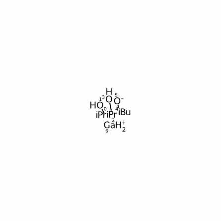 CC(C)O.CC(C)O.CCC(C)[O-].[GaH2+]